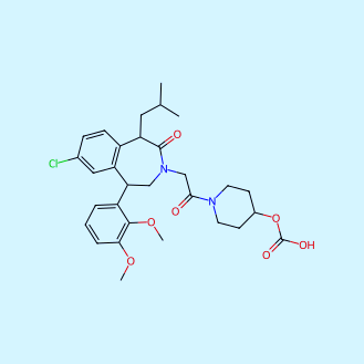 COc1cccc(C2CN(CC(=O)N3CCC(OC(=O)O)CC3)C(=O)C(CC(C)C)c3ccc(Cl)cc32)c1OC